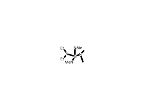 CCN(CC)[Si](NC)(NC)N(C)C